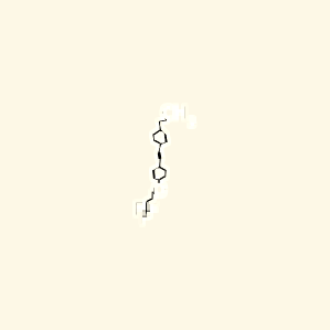 CCCc1ccc(C#Cc2ccc(OCC=CC(F)(F)F)cc2)cc1